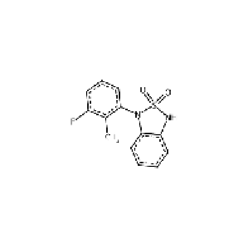 Cc1c(F)cccc1N1c2ccccc2NS1(=O)=O